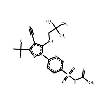 CC(=O)NS(=O)(=O)c1ccc(-n2nc(C(F)(F)F)c(C#N)c2NCC(C)(C)C)nc1